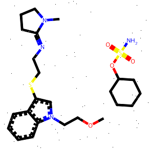 COCCn1cc(SCCN=C2CCCN2C)c2ccccc21.NS(=O)(=O)OC1CCCCC1